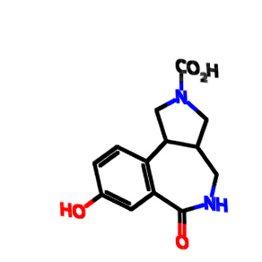 O=C1NCC2CN(C(=O)O)CC2c2ccc(O)cc21